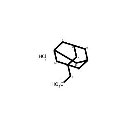 Cl.O=C(O)CC12CC3CC(CC(C3)C1)C2